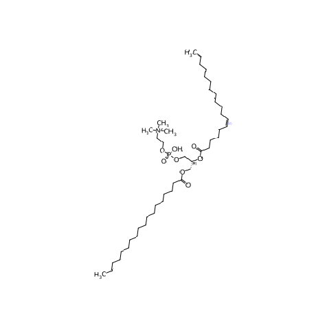 CCCCCCCCCCC/C=C\CCCCC(=O)O[C@H](COC(=O)CCCCCCCCCCCCCCCCC)COP(=O)(O)OCC[N+](C)(C)C